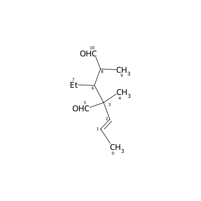 C/C=C/C(C)(C=O)C(CC)C(C)C=O